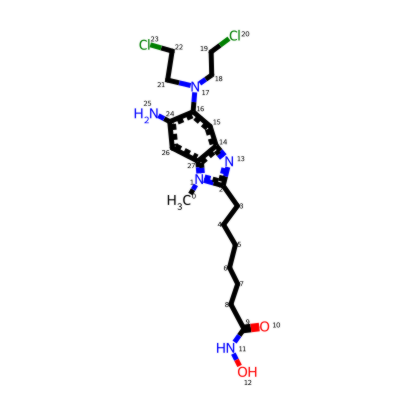 Cn1c(CCCCCCC(=O)NO)nc2cc(N(CCCl)CCCl)c(N)cc21